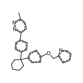 Cc1ccc(-c2ccc(C3(c4ccc(OCc5ccccn5)cc4)CCCCC3)cc2)nn1